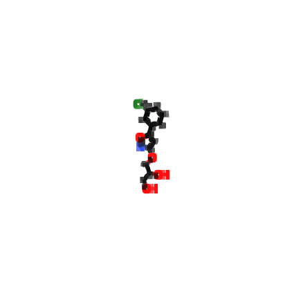 OCC(O)COc1cc(-c2cccc(Cl)c2)on1